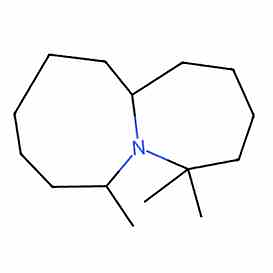 CC1CCCCCC2CCCCC(C)(C)N12